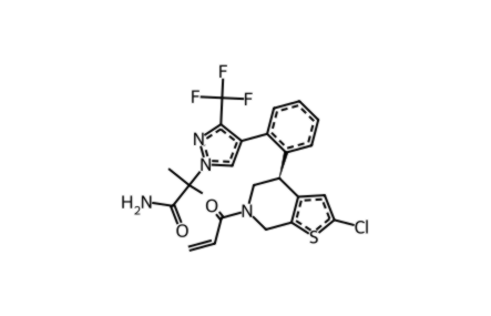 C=CC(=O)N1Cc2sc(Cl)cc2[C@H](c2ccccc2-c2cn(C(C)(C)C(N)=O)nc2C(F)(F)F)C1